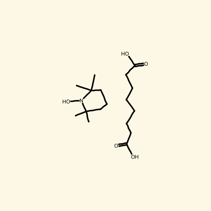 CC1(C)CCCC(C)(C)N1O.O=C(O)CCCCCCC(=O)O